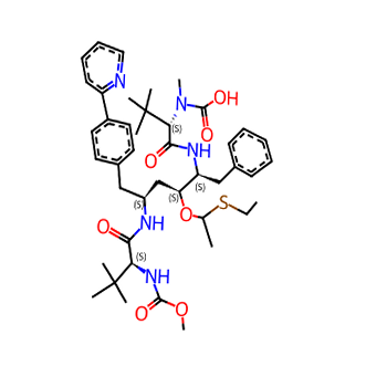 CCSC(C)O[C@@H](C[C@H](Cc1ccc(-c2ccccn2)cc1)NC(=O)[C@@H](NC(=O)OC)C(C)(C)C)[C@H](Cc1ccccc1)NC(=O)[C@@H](N(C)C(=O)O)C(C)(C)C